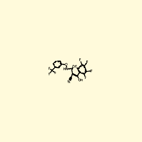 N#C/C(C(=O)NOc1cccc(C(F)(F)F)c1)=C(\O)c1c(F)c(F)c(F)c(F)c1F